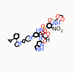 O=C(NS(=O)(=O)c1cc2c(c([N+](=O)[O-])c1)N[C@@H]([C@H]1COCCO1)CO2)c1ccc(N2CCC3(CC2)CC(N2CCC[C@H]2c2ccccc2C2CC2)C3)cc1N1c2cc3cc[nH]c3nc2O[C@@H]2COCC[C@H]21